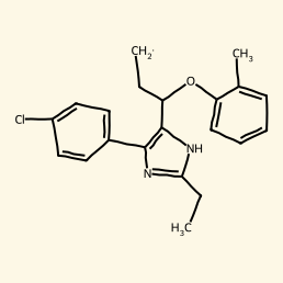 [CH2]CC(Oc1ccccc1C)c1[nH]c(CC)nc1-c1ccc(Cl)cc1